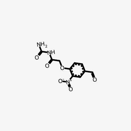 NC(=O)NC(=O)COc1ccc(C=O)cc1[N+](=O)[O-]